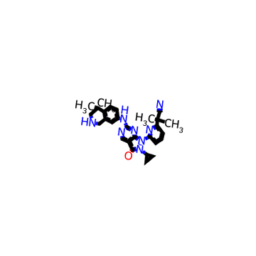 CC(C)(C#N)c1cccc(-n2c3nc(Nc4ccc5c(c4)CNCC5(C)C)ncc3c(=O)n2C2CC2)n1